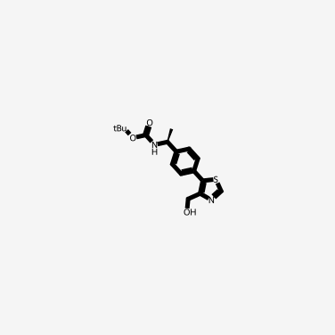 C[C@H](NC(=O)OC(C)(C)C)c1ccc(-c2scnc2CO)cc1